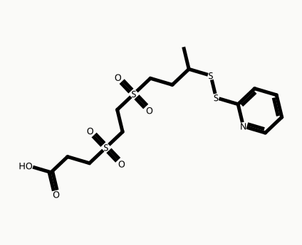 CC(CCS(=O)(=O)CCS(=O)(=O)CCC(=O)O)SSc1ccccn1